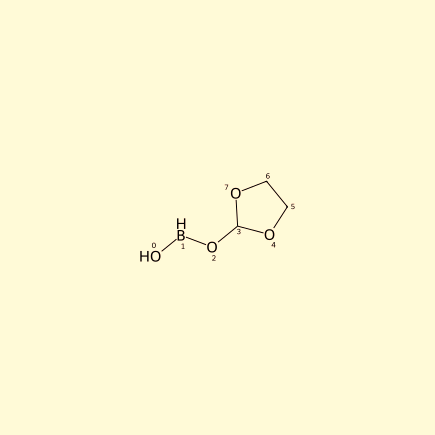 OBOC1OCCO1